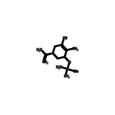 C=C(C)[C@H]1CC(C#N)=C(C)C(O[Si](C)(C)C(C)(C)C)C1